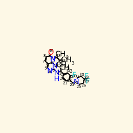 CC(Nc1ncc2ccc(=O)n(C(C)C(C)C)c2n1)c1ccc(CN2CCC(F)(F)CC2)c(F)c1